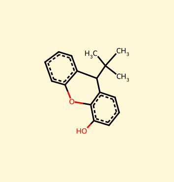 CC(C)(C)C1c2ccccc2Oc2c(O)cccc21